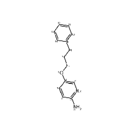 Nc1ccc(OCCCc2ccccc2)cn1